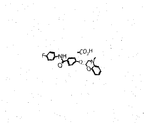 CC(=O)O.CN1C[C@@H](COc2ccc(C(=O)Nc3ccc(F)cc3)cc2)Oc2ccccc21